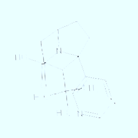 CC(C)(C)C1CCC2CCC1(c1cncnc1)N2C(=O)O